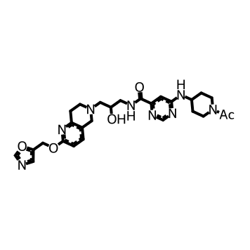 CC(=O)N1CCC(Nc2cc(C(=O)NCC(O)CN3CCc4nc(OCc5cnco5)ccc4C3)ncn2)CC1